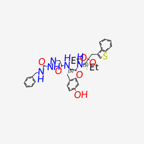 CCOC(Cc1csc2ccccc12)(OCC)[C@H](C)NC(=O)[C@H](Cc1ccc(O)cc1)NC(=O)CN(C)NC(=O)NCc1ccccc1